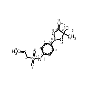 C=CCS(=O)(=O)Nc1ccc(B2OC(=C)C(C)(C)O2)cc1